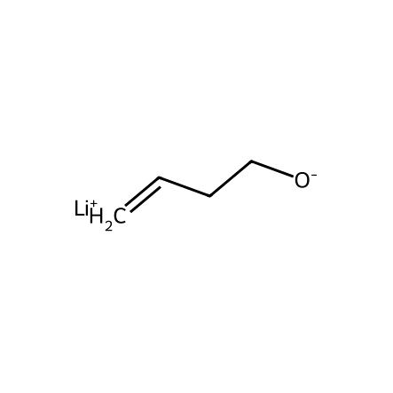 C=CCC[O-].[Li+]